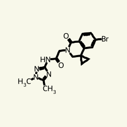 Cc1nc(NC(=O)CN2CC3(CC3)c3cc(Br)ccc3C2=O)nn1C